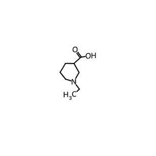 CCN1CCCC(C(=O)O)C1